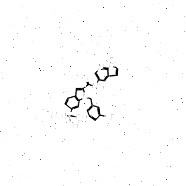 C[Si](C)(C)c1ccc2cc(C(=O)Nc3cnc4[nH]ccc4c3)n(Cc3cccc(C(F)(F)F)c3)c2c1